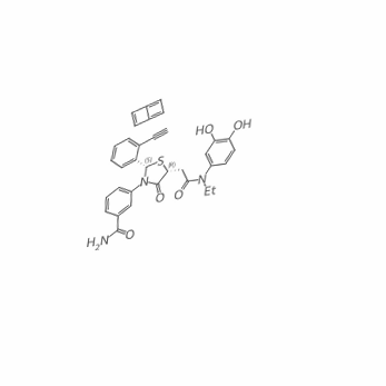 C#Cc1ccccc1[C@@H]1S[C@H](CC(=O)N(CC)c2ccc(O)c(O)c2)C(=O)N1c1cccc(C(N)=O)c1.c1cc2ccc1-2